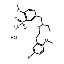 CCC(Cc1ccc(OC)c(S(N)(=O)=O)c1)NCCc1cc(F)ccc1OC.Cl